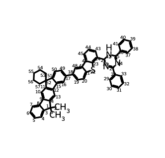 CC1(C)c2ccccc2-c2cc3c(cc21)-c1cc(-c2ccc4sc5c(C6N=C(c7ccccc7)N=C(c7ccccc7)N6)cccc5c4c2)ccc1C31CCCCC1